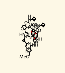 COCc1cc2c(Nc3cc([C@H]4CC[C@@H](OC(=O)NC56CC(C5)C6)[C@H]4F)[nH]n3)nc(C3CC3[n+]3[nH]c([C@H]4OC[C@@H](OC(=O)NC56CC(C5)C6)[C@@H]4F)cc3Nc3nccc4nc(OC(F)(F)F)cn34)cn2n1